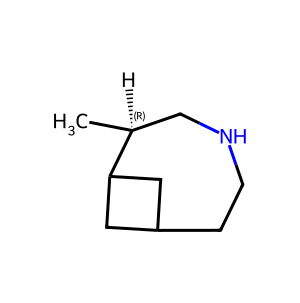 C[C@H]1CNCCC2CC1C2